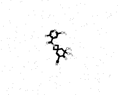 Cc1cc(C(=O)N2CC3(C=C(C#N)C(=O)C(C)(C)C3)C2)c(F)cn1